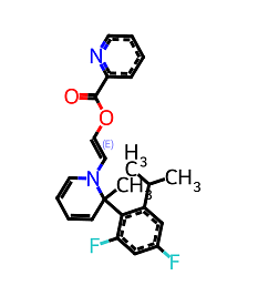 CC(C)c1cc(F)cc(F)c1C1(C)C=CC=CN1/C=C/OC(=O)c1ccccn1